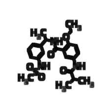 CCOc1ccc(NC(=O)C(C)C)cc1C(=O)NC(C)c1cccc(NS(C)(=O)=O)c1